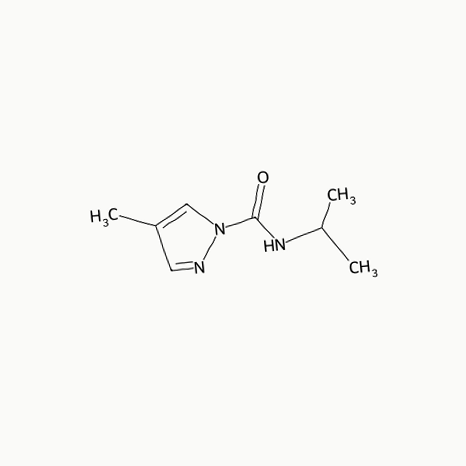 Cc1cnn(C(=O)NC(C)C)c1